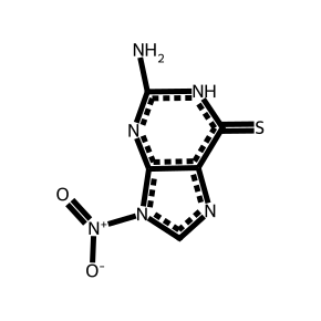 Nc1nc2c(ncn2[N+](=O)[O-])c(=S)[nH]1